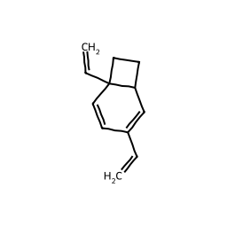 C=CC1=CC2CCC2(C=C)C=C1